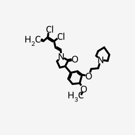 C=C/C(Cl)=C(Cl)\C=C\N1CCC(C2=CCC(OC)C(OCCN3CCCCC3)=C2)C1=O